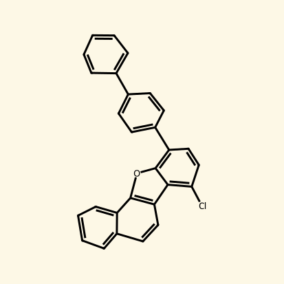 Clc1ccc(-c2ccc(-c3ccccc3)cc2)c2oc3c4ccccc4ccc3c12